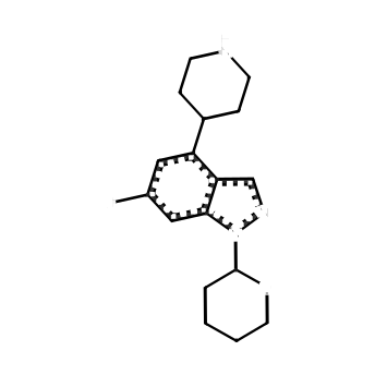 Clc1cc(C2CCNCC2)c2cnn(C3CCCCO3)c2c1